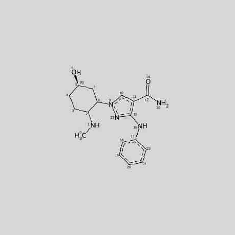 CNC1CC[C@@H](O)CC1n1cc(C(N)=O)c(Nc2ccccc2)n1